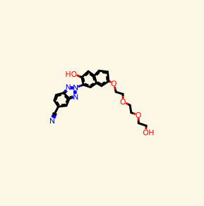 N#Cc1ccc2nn(-c3cc4cc(OCCOCCOCCO)ccc4cc3O)nc2c1